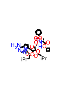 CC(C)CC(=O)O[C@H]1[C@@H](OC(=O)CC(C)C)[C@](C#N)(c2ccc3c(N)ncnn23)O[C@@H]1COP(=O)(N[C@@H](C)C(=O)OC1CCC1)Oc1ccccc1